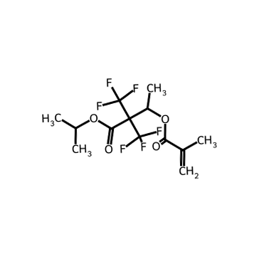 C=C(C)C(=O)OC(C)C(C(=O)OC(C)C)(C(F)(F)F)C(F)(F)F